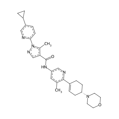 Cc1cc(NC(=O)c2cnn(-c3ccc(C4CC4)cn3)c2C)cnc1C1=CC[C@@H](N2CCOCC2)CC1